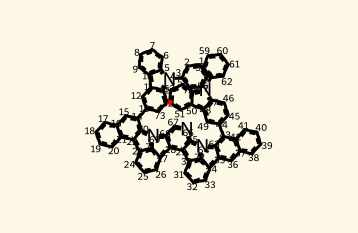 c1ccc(-n2c3ccccc3c3cc(-c4cc5ccccc5c5c6cccc7c8c9c%10cccc%11c%12cc%13ccccc%13c(-c%13ccc%14c(c%13)c%13ccccc%13n%14-c%13ccccc%13)c%12n(c9ncc8n(c45)c76)c%11%10)ccc32)cc1